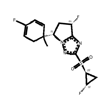 CC1([C@@H]2C[C@H](F)c3nc(S(=O)(=O)[C@H]4C[C@@H]4F)nn32)C=CC(F)=CC1